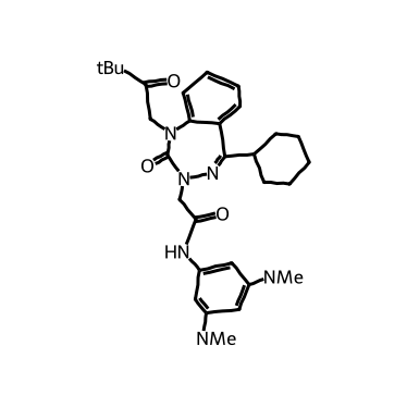 CNc1cc(NC)cc(NC(=O)CN2N=C(C3CCCCC3)c3ccccc3N(CC(=O)C(C)(C)C)C2=O)c1